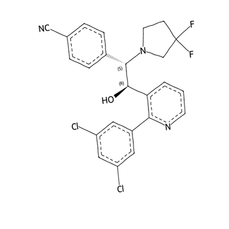 N#Cc1ccc([C@@H]([C@H](O)c2cccnc2-c2cc(Cl)cc(Cl)c2)N2CCC(F)(F)C2)cc1